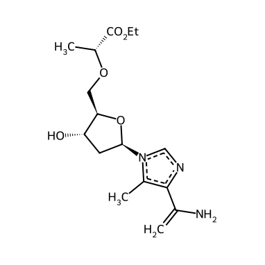 C=C(N)c1ncn([C@H]2C[C@H](O)[C@@H](CO[C@H](C)C(=O)OCC)O2)c1C